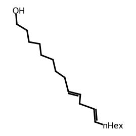 CCCCCC/C=C/C/C=C/CCCCCCCCO